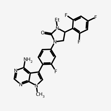 CCN1C(=O)N(c2ccc(-c3cn(C)c4ncnc(N)c34)c(F)c2)CC1c1c(F)cc(F)cc1F